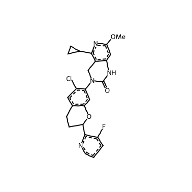 COc1cc2c(c(C3CC3)n1)CN(c1cc3c(cc1Cl)CCC(c1ncccc1F)O3)C(=O)N2